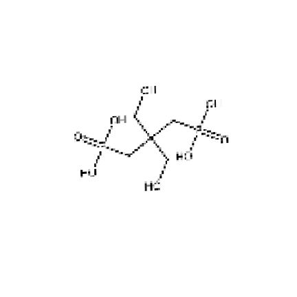 O=P(O)(O)CC(CO)(CO)CP(=O)(O)O